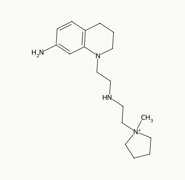 C[N+]1(CCNCCN2CCCc3ccc(N)cc32)CCCC1